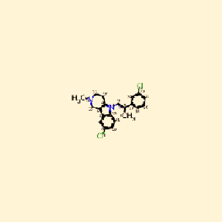 C/C(=C\n1c2c(c3cc(Cl)ccc31)CN(C)CC2)c1cccc(Cl)c1